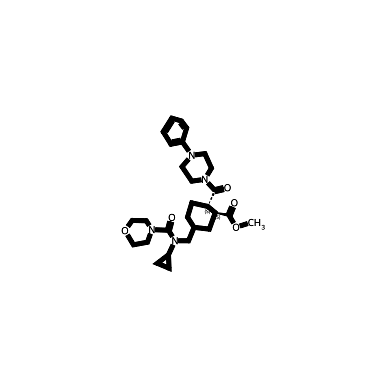 COC(=O)[C@H]1CC(CN(C(=O)N2CCOCC2)C2CC2)CC[C@@H]1C(=O)N1CCN(c2ccccc2)CC1